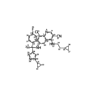 [2H]C(Nc1cc(Cl)c2ncc(C#N)c(NCCC3CC3)c2c1)(c1ccc(F)cc1)c1cn(C2CC2)nn1